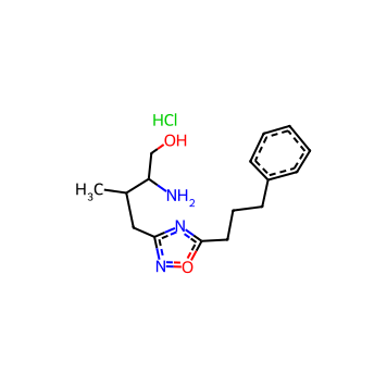 CC(Cc1noc(CCCc2ccccc2)n1)C(N)CO.Cl